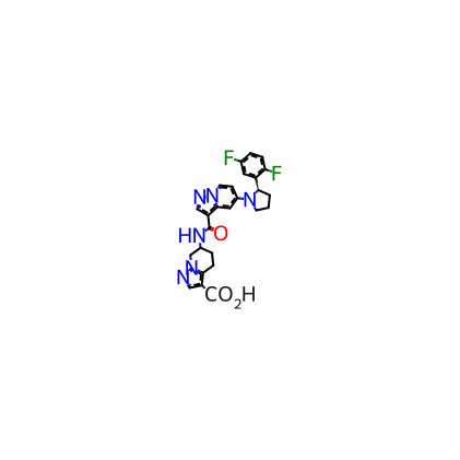 O=C(O)c1cnn2c1CCC(NC(=O)c1cnn3ccc(N4CCC[C@@H]4c4cc(F)ccc4F)cc13)C2